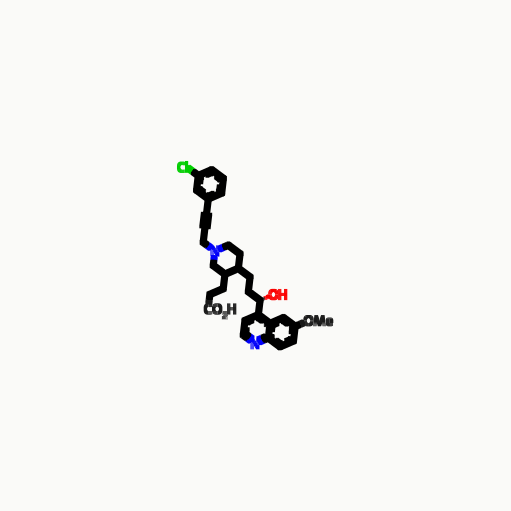 COc1ccc2nccc([C@@H](O)CCC3CCN(CC#Cc4cccc(Cl)c4)CC3CCC(=O)O)c2c1